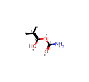 CC(C)=C(O)OC(N)=O